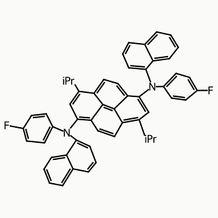 CC(C)c1cc(N(c2ccc(F)cc2)c2cccc3ccccc23)c2ccc3c(C(C)C)cc(N(c4ccc(F)cc4)c4cccc5ccccc45)c4ccc1c2c34